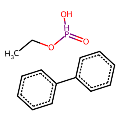 CCO[PH](=O)O.c1ccc(-c2ccccc2)cc1